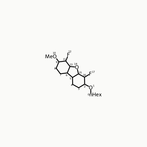 CCCCCCOC1CCC2C3CCC(OC)C(F)C3OC2C1F